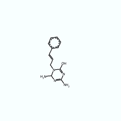 NC1=NC(N)N(CC=Cc2ccccc2)C(O)=N1